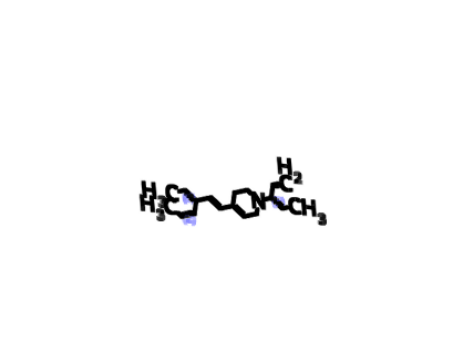 C=C/C(=C\C)N1CC=C(C=CC(/C=C\C)=C/C)CC1